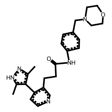 Cc1n[nH]c(C)c1-c1ccncc1CCC(=O)Nc1ccc(CN2CCOCC2)cc1